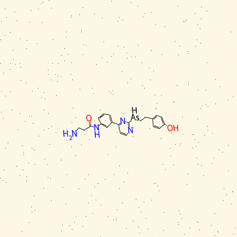 NCCC(=O)Nc1cccc(-c2ccnc([AsH]CCc3ccc(O)cc3)n2)c1